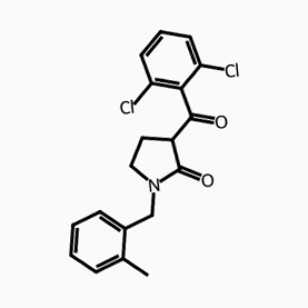 Cc1ccccc1CN1CCC(C(=O)c2c(Cl)cccc2Cl)C1=O